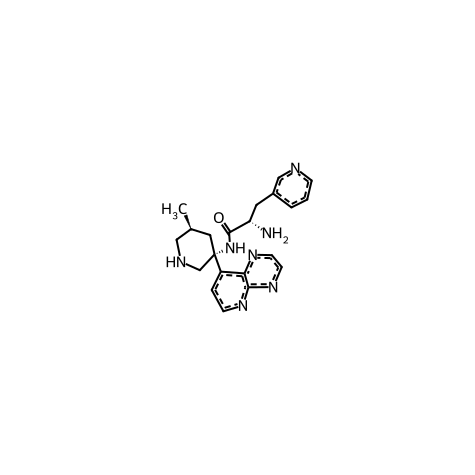 C[C@@H]1CNC[C@](NC(=O)[C@@H](N)Cc2cccnc2)(c2ccnc3nccnc23)C1